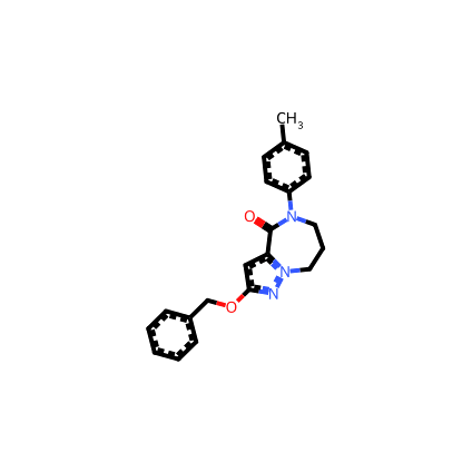 Cc1ccc(N2CCCn3nc(OCc4ccccc4)cc3C2=O)cc1